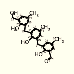 Cc1cc(C=O)c(O)c(Cc2cc(C)cc(Cc3cc(C)cc(CO)c3O)c2O)c1